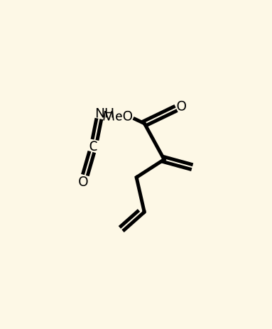 C=CCC(=C)C(=O)OC.N=C=O